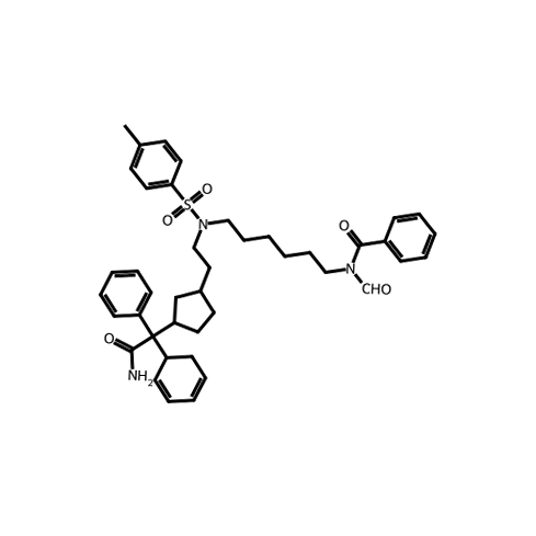 Cc1ccc(S(=O)(=O)N(CCCCCCN(C=O)C(=O)c2ccccc2)CCC2CCC(C(C(N)=O)(c3ccccc3)C3C=CC=CC3)C2)cc1